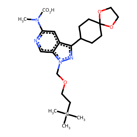 CN(C(=O)O)c1cc2c(C3CCC4(CC3)OCCO4)nn(COCC[Si](C)(C)C)c2cn1